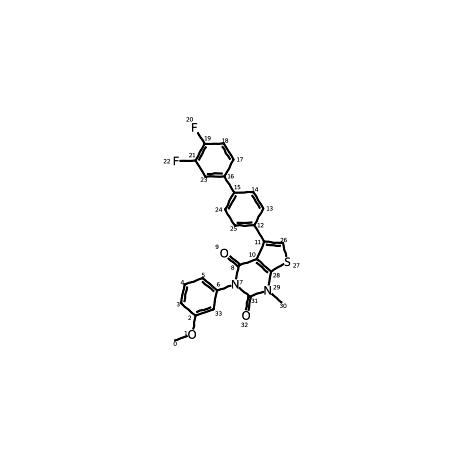 COc1cccc(-n2c(=O)c3c(-c4ccc(-c5ccc(F)c(F)c5)cc4)csc3n(C)c2=O)c1